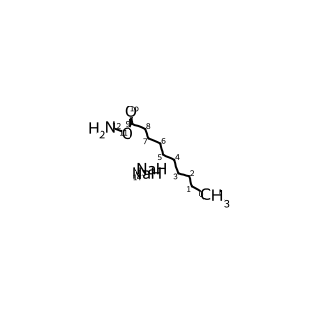 CCCCCCCCCC(=O)ON.[NaH].[NaH]